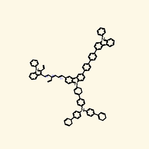 C=CC(/C=C/c1c(C=C)n(-c2ccccc2)c2ccccc12)=C\C=C\c1ccc2c(c1)c1cc(-c3ccc(-c4ccc(-c5ccc6c(c5)c5ccccc5n6-c5ccccc5)cc4)cc3)ccc1n2C1=CC=C(c2ccc(N(c3ccc(C4=CCCC=C4)cc3)c3ccc(C4C=CC=CC4)cc3)cc2)CC1